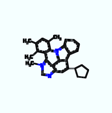 Cc1cc(C)c2c(c1C)c1c3c(cc(C4CCCC4)c4c5ccccc5n2c43)nc[n+]1C